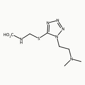 CN(C)CCn1nnnc1SCNC(=O)O